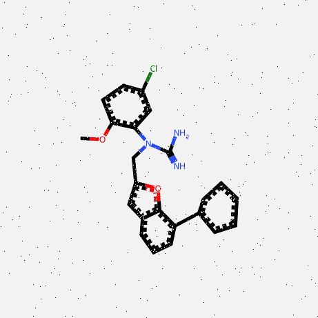 COc1ccc(Cl)cc1N(Cc1cc2cccc(-c3ccccc3)c2o1)C(=N)N